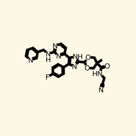 CC1(C(=O)NCC#N)COC(c2nc(-c3ccc(F)cc3)c(-c3ccnc(NCc4cccnc4)n3)[nH]2)OC1